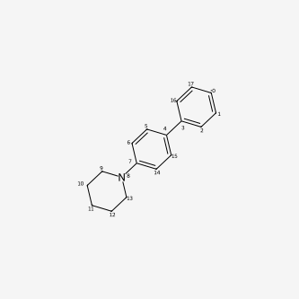 [c]1ccc(-c2ccc(N3CCCCC3)cc2)cc1